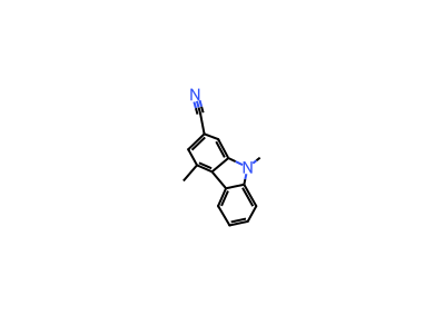 Cc1cc(C#N)cc2c1c1ccccc1n2C